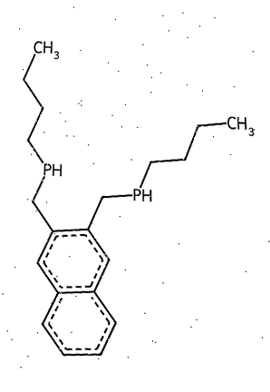 CCCCPCc1cc2ccccc2cc1CPCCCC